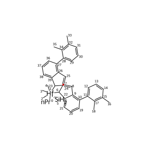 CC[CH2][Hf]([CH3])([CH3])([CH3])(=[SiH2])([CH]1C=Cc2c(-c3cccc(C)c3C)cccc21)[CH]1C=Cc2c(-c3cccc(C)c3C)cccc21